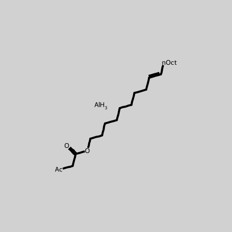 CCCCCCCCC=CCCCCCCCCOC(=O)CC(C)=O.[AlH3]